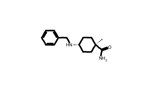 C[C@]1(C(N)=O)CC[C@H](NCc2ccccc2)CC1